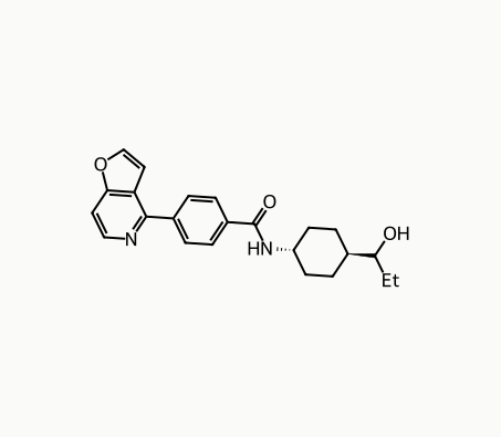 CCC(O)[C@H]1CC[C@H](NC(=O)c2ccc(-c3nccc4occc34)cc2)CC1